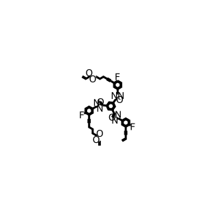 C=CC#Cc1cc(-c2noc(-c3cc(-c4nc(-c5ccc(F)c(C#CCCCOC(=O)C=C)c5)no4)cc(-c4nc(-c5ccc(F)c(C#CCCCC(=O)OC=C)c5)no4)c3)n2)ccc1F